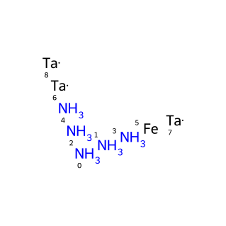 N.N.N.N.N.[Fe].[Ta].[Ta].[Ta]